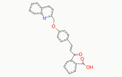 O=C(O)c1ccccc1C(=O)C=Cc1ccc(OCc2ccc3ccccc3n2)cc1